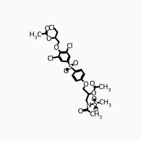 CC(=O)OC(CCl)COc1c(Cl)cc(S(=O)(=O)c2ccc(OCC(CN(C(C)=O)S(C)(=O)=O)OC(C)=O)cc2)cc1Cl